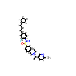 CC(c1ccc(C(C)(C)C)nc1)N1CCc2cc([S+]([O-])Nc3ccc(CCCC4CCCC4)cc3F)ccc2C1